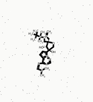 C=NC[C@]1(CO[Si](C)(C)C(C)(C)C)OC[C@](O)(c2ccc3c(/N=C\N(C)C)ncnn23)[C@@H]1O